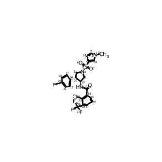 Cn1cnc(S(=O)(=O)N2C[C@@H](NC(=O)c3cccc(C(F)(F)F)c3Cl)[C@H](c3ccc(F)cc3)C2)c1